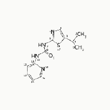 CC(C)c1cnc(NC(=O)Nc2ccccn2)s1